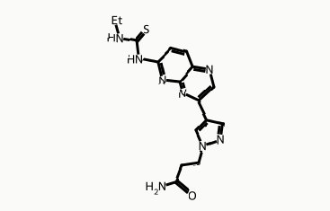 CCNC(=S)Nc1ccc2ncc(-c3cnn(CCC(N)=O)c3)nc2n1